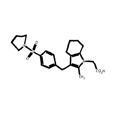 Cc1c(Cc2ccc(S(=O)(=O)N3CCCC3)cc2)c2c(n1CC(=O)O)CCCC2